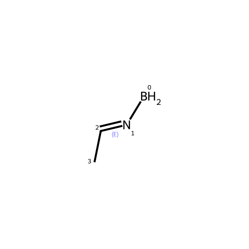 B/N=C/C